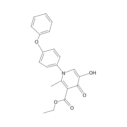 CCOC(=O)c1c(C)n(-c2ccc(Oc3ccccc3)cc2)cc(O)c1=O